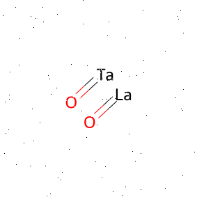 [O]=[La].[O]=[Ta]